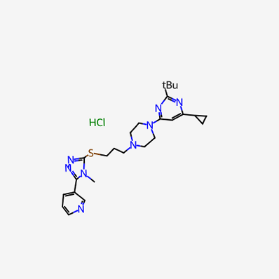 Cl.Cn1c(SCCCN2CCN(c3cc(C4CC4)nc(C(C)(C)C)n3)CC2)nnc1-c1cccnc1